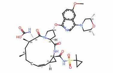 COc1ccc2c(O[C@@H]3C[C@H]4C(=O)N[C@]5(C(=O)NS(=O)(=O)C6(C)CC6)C[C@H]5/C=C\CC[C@@H](C)C[C@@H](C)[C@H](NC(=O)O)C(=O)N4C3)ncc(N3C[C@@H](C)O[C@@H](C)C3)c2c1